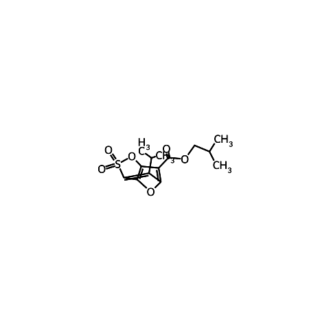 CC(C)COC(=O)c1c2c3oc1c(C(C)C)c3S(=O)(=O)O2